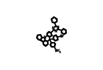 Bc1ccc(C2(c3ccc(Br)cc3)c3cc(-c4nc(-c5ccccc5)nc(-c5ccccc5)n4)ccc3-n3c4ccccc4c4cccc2c43)cc1